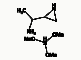 CC(N)C1CN1.CO[SiH](OC)OC